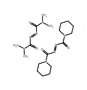 CN(C)C(=O)/N=N/C(=O)N(C)C.O=C(/N=N/C(=O)N1CCCCC1)N1CCCCC1